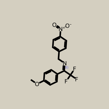 COc1ccc(/C(=N\Cc2ccc([N+](=O)[O-])cc2)C(F)(F)F)cc1